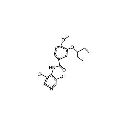 CCC(CC)Oc1cc(C(=O)Nc2c(Cl)cncc2Cl)ccc1OC